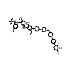 CCc1cc(Nc2ncc(Cl)c(Nc3ccc(OC)cc3N(C)S(C)(=O)=O)n2)c(OC)cc1N1CCC(N2CCN(CC3CCN(c4ccc(C5CCC(=O)NC5=O)cc4)CC3)CC2)CC1